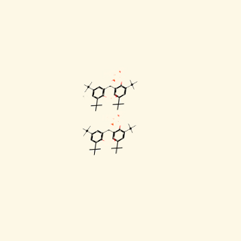 CC(C)(C)c1cc(Cc2cc(C(C)(C)C)cc(C(C)(C)C)c2OP(=O)([O-])O)c(O)c(C(C)(C)C)c1.CC(C)(C)c1cc(Cc2cc(C(C)(C)C)cc(C(C)(C)C)c2OP(=O)([O-])O)c(O)c(C(C)(C)C)c1.[Ca+2]